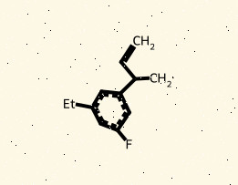 [CH2]C(C=C)c1cc(F)cc(CC)c1